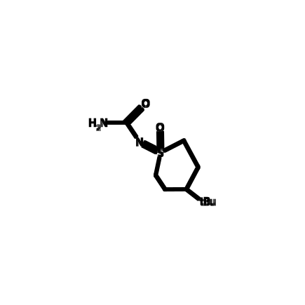 CC(C)(C)C1CCS(=O)(=NC(N)=O)CC1